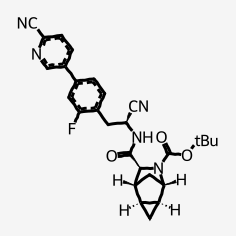 CC(C)(C)OC(=O)N1[C@H](C(=O)N[C@H](C#N)Cc2ccc(-c3ccc(C#N)nc3)cc2F)[C@@H]2C[C@H]1[C@H]1C[C@@H]21